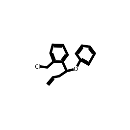 C=CCC(Oc1ccccc1)c1ccccc1CCl